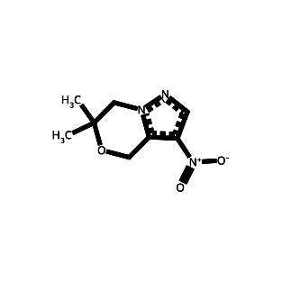 CC1(C)Cn2ncc([N+](=O)[O-])c2CO1